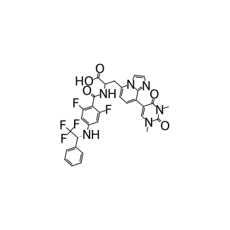 Cn1cc(-c2ccc(CC(NC(=O)c3c(F)cc(N[C@H](c4ccccc4)C(F)(F)F)cc3F)C(=O)O)n3ccnc23)c(=O)n(C)c1=O